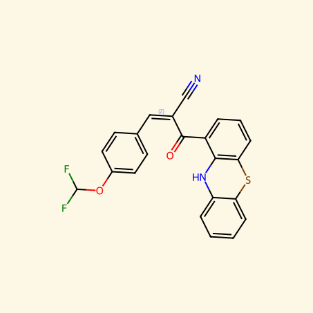 N#C/C(=C/c1ccc(OC(F)F)cc1)C(=O)c1cccc2c1Nc1ccccc1S2